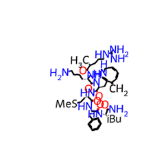 C=C1/C=C\C=C/CN/C=C\1C[C@H](NC(=O)[C@H](CCCCN)NC(=O)[C@@H](C)CCCNC(=N)N)C(=O)N[C@@H](CCSC)C(=O)N[C@@H](Cc1ccccc1)C(=O)N[C@H](C(N)=O)[C@@H](C)CC